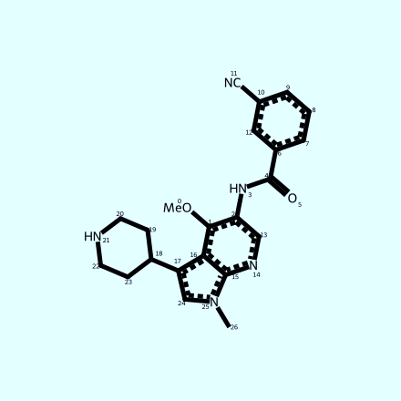 COc1c(NC(=O)c2cccc(C#N)c2)cnc2c1c(C1CCNCC1)cn2C